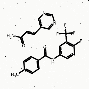 Cc1ccc(C(=O)Nc2ccc(F)c(C(F)(F)F)c2)cc1.NC(=O)C=Cc1cncnc1